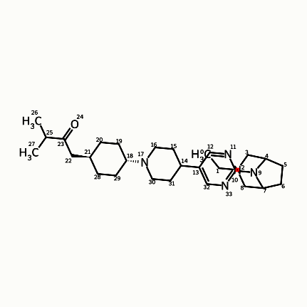 CCN1CC2CCC(C1)N2c1ncc(C2CCN([C@H]3CC[C@H](CC(=O)C(C)C)CC3)CC2)cn1